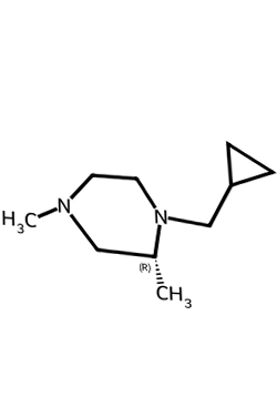 C[C@@H]1CN(C)CCN1CC1CC1